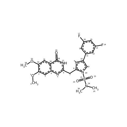 COc1cc2nc(Cc3nc(-c4cc(F)cc(F)c4)cn3S(=O)(=O)N(C)C)[nH]c(=O)c2cc1OC